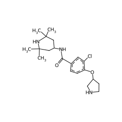 CC1(C)CC(NC(=O)c2ccc(OC3CCNC3)c(Cl)c2)CC(C)(C)N1